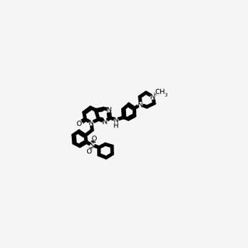 CN1CCN(c2ccc(Nc3ncc4ccc(=O)n(Cc5ccccc5S(=O)(=O)C5CCCCC5)c4n3)cc2)CC1